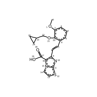 COc1cccc(C=Cc2nc3sccn3c2C(=O)O)c1OCC1CC1